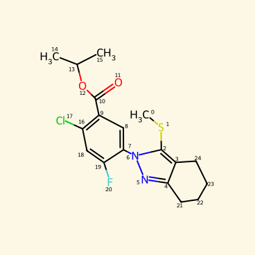 CSc1c2c(nn1-c1cc(C(=O)OC(C)C)c(Cl)cc1F)CCCC2